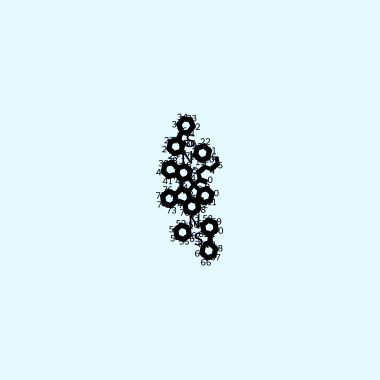 C=C(/C=C\C=C/C)C1(c2ccccc2)c2cc(N(c3ccccc3)c3cccc4c3sc3ccccc34)c3ccccc3c2-c2c1c1ccc(N(c3ccccc3)c3cccc4c3sc3ccccc34)cc1c1ccccc21